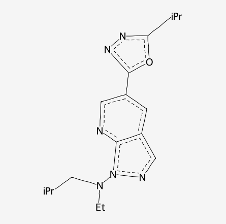 CCN(CC(C)C)n1ncc2cc(-c3nnc(C(C)C)o3)cnc21